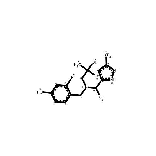 CC(C)(O)CN(Cc1ccc(O)cc1F)C(O)c1cc(C(F)(F)F)n[nH]1